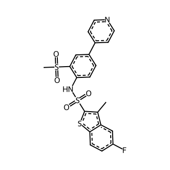 Cc1c(S(=O)(=O)Nc2ccc(-c3ccncc3)cc2S(C)(=O)=O)sc2ccc(F)cc12